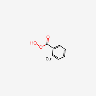 O=C(OO)c1ccccc1.[Cu]